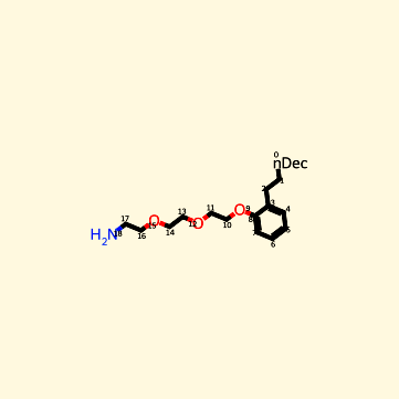 CCCCCCCCCCCCc1ccccc1OCCOCCOCCN